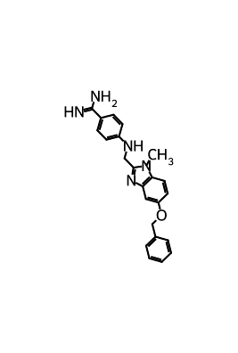 Cn1c(CNc2ccc(C(=N)N)cc2)nc2cc(OCc3ccccc3)ccc21